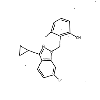 Cc1cccc(C#N)c1Cn1nc(C2CC2)c2ccc(Br)cc21